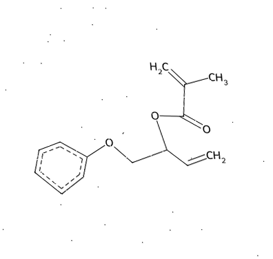 C=CC(COc1ccccc1)OC(=O)C(=C)C